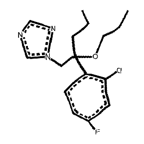 CCCOC(CCC)(Cn1cncn1)c1ccc(F)cc1Cl